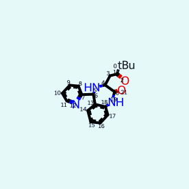 CC(C)(C)C(=O)CC1NC(c2ccccn2)c2ccccc2NC1=O